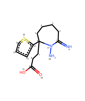 N=C1CCCCC(CCC(=O)O)(c2cccs2)N1N